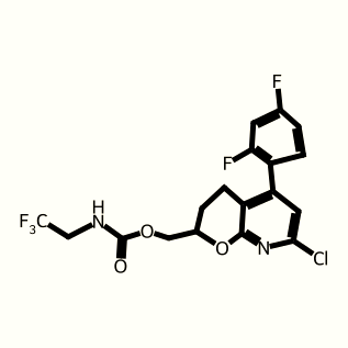 O=C(NCC(F)(F)F)OCC1CCc2c(-c3ccc(F)cc3F)cc(Cl)nc2O1